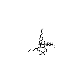 B[C@@H]1O[C@](C)(COCCCC)C(OCCCC)C1OC(C)=O